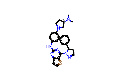 CN(C)[C@@H]1CCN(c2ccc(Nc3nc(N4N=CCC4c4ccccc4)c4sccc4n3)cc2)C1